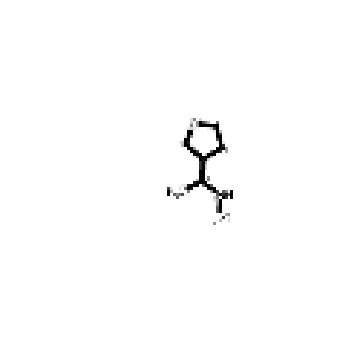 CC(C)NC(C1CCOC1)C(F)(F)F